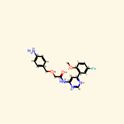 COc1ccc(F)cc1-c1cc(NC(=O)COCc2ccc(N)cc2)ncn1